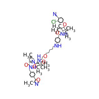 Cc1ncoc1-c1ccc(CNC(=O)[C@@H]2C[C@@H](C)CN2C(=O)[C@@H](NC(=O)COCCCCCNc2ccc(C(=O)N[C@H]3C(C)(C)[C@H](Oc4ccc(C#N)c(Cl)c4)C3(C)C)cc2)C(C)(C)C)cc1